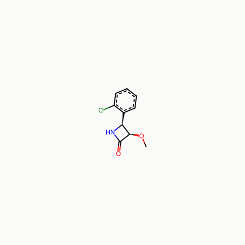 CO[C@H]1C(=O)N[C@H]1c1ccccc1Cl